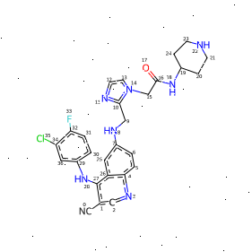 N#Cc1cnc2ccc(NCc3nccn3CC(=O)NC3CCNCC3)cc2c1Nc1ccc(F)c(Cl)c1